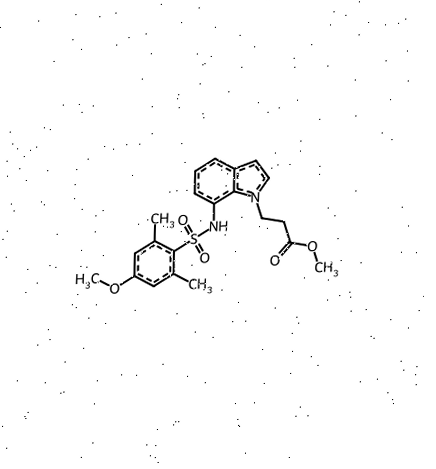 COC(=O)CCn1ccc2cccc(NS(=O)(=O)c3c(C)cc(OC)cc3C)c21